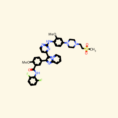 COc1cc(N2CCN(CCS(C)(=O)=O)CC2)ccc1Nc1nccc(-c2c(-c3ccc(OC)c(C(=O)Nc4c(F)cccc4F)c3)nc3ccccn23)n1